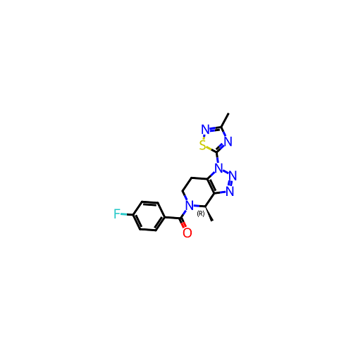 Cc1nsc(-n2nnc3c2CCN(C(=O)c2ccc(F)cc2)[C@@H]3C)n1